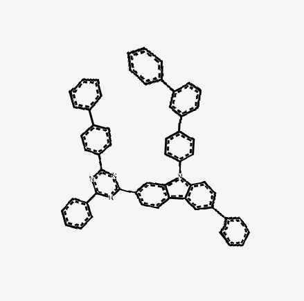 c1ccc(-c2ccc(-c3nc(-c4ccccc4)nc(-c4ccc5c6cc(-c7ccccc7)ccc6n(-c6ccc(-c7cccc(-c8ccccc8)c7)cc6)c5c4)n3)cc2)cc1